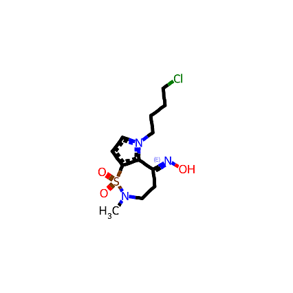 CN1CC/C(=N\O)c2c(ccn2CCCCCl)S1(=O)=O